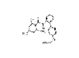 CCCCCOc1ccc(-c2ccccc2[P](=O)C(=O)c2c(C)cc(C)cc2C)cc1